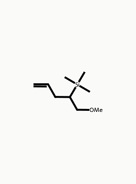 C=CC[C](COC)[Si](C)(C)C